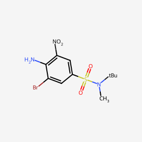 CN(C(C)(C)C)S(=O)(=O)c1cc(Br)c(N)c([N+](=O)[O-])c1